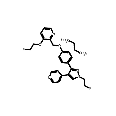 FCCOc1cccnc1COc1ccc(-c2nn(CCF)cc2-c2ccncc2)cc1.O=C(O)CCC(=O)O